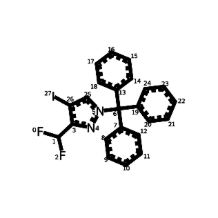 FC(F)c1nn(C(c2ccccc2)(c2ccccc2)c2ccccc2)cc1I